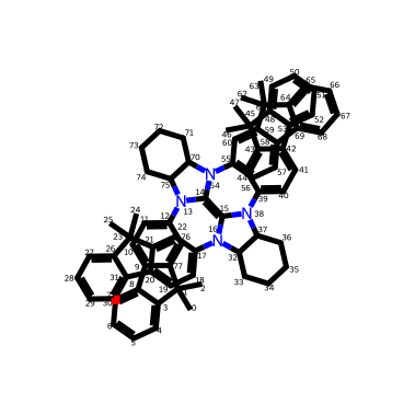 CC1(C)c2ccccc2-c2ccc(N3C(=C4N(c5ccc6c(c5)C(C)(C)c5ccccc5-6)C5CCCCC5N4c4ccc5c(c4)C(C)(C)c4ccccc4-5)N(c4ccc5c(c4)C(C)(C)c4ccccc4-5)C4CCCCC43)cc21